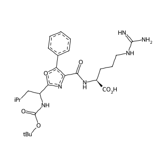 CC(C)CC(NC(=O)OC(C)(C)C)c1nc(C(=O)N[C@@H](CCCNC(=N)N)C(=O)O)c(-c2ccccc2)o1